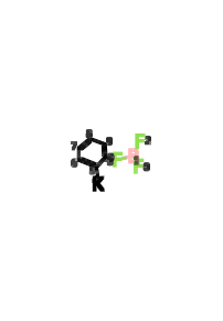 FB(F)F.[K][c]1ccccc1